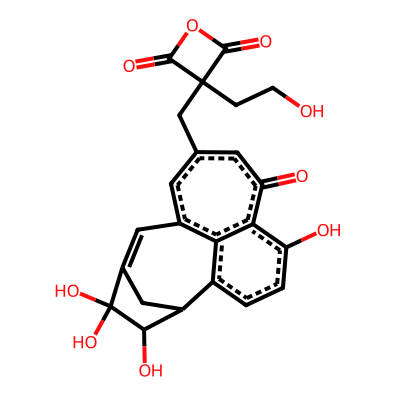 O=C1OC(=O)C1(CCO)Cc1cc2c3c(ccc(O)c3c(=O)c1)C1CC(=C2)C(O)(O)C1O